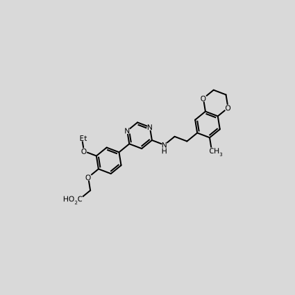 CCOc1cc(-c2cc(NCCc3cc4c(cc3C)OCCO4)ncn2)ccc1OCC(=O)O